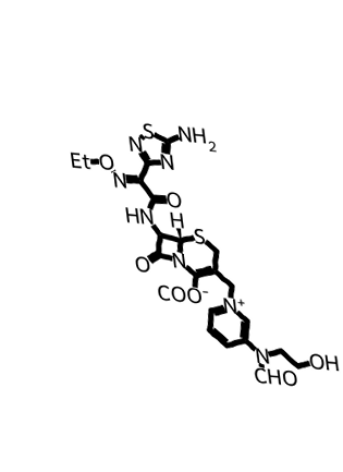 CCON=C(C(=O)NC1C(=O)N2C(C(=O)[O-])=C(C[n+]3cccc(N(C=O)CCO)c3)CS[C@@H]12)c1nsc(N)n1